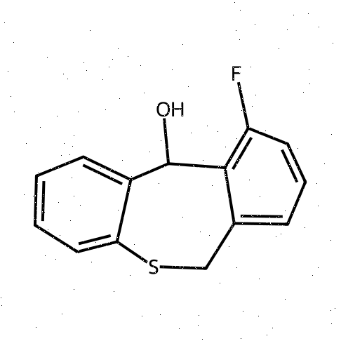 OC1c2ccccc2SCc2cccc(F)c21